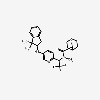 CN(C(=O)C1CN2CCC1CC2)C(c1ccc(NC2Cc3ccccc3C2(C)C)cn1)C(F)(F)F